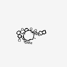 CO[C@H]1/C=C/C[C@H](C)CS(=O)(NC(=O)[C@H]2Cc3ccccc3CO2)=NC(=O)c2ccc3c(c2)N(C[C@@H]2CC[C@H]21)C[C@@]1(CCCc2cc(Cl)ccc21)CO3